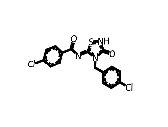 O=C(N=c1s[nH]c(=O)n1Cc1ccc(Cl)cc1)c1ccc(Cl)cc1